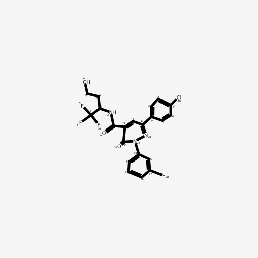 O=C(NC(CCO)C(F)(F)F)c1cc(-c2ccc(Cl)cc2)nn(-c2cccc(F)c2)c1=O